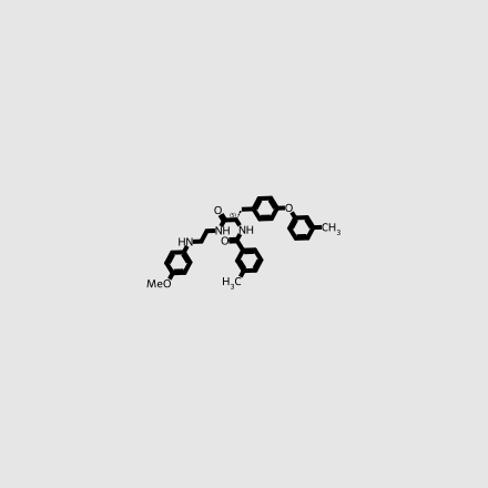 COc1ccc(NCCNC(=O)[C@H](Cc2ccc(Oc3cccc(C)c3)cc2)NC(=O)c2cccc(C)c2)cc1